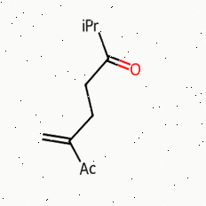 C=C(CCC(=O)C(C)C)C(C)=O